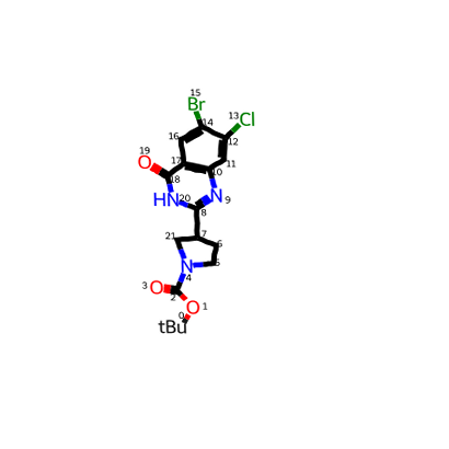 CC(C)(C)OC(=O)N1CCC(c2nc3cc(Cl)c(Br)cc3c(=O)[nH]2)C1